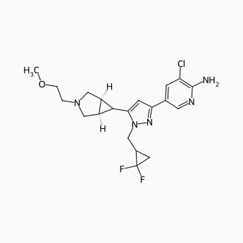 COCCN1C[C@@H]2C(c3cc(-c4cnc(N)c(Cl)c4)nn3CC3CC3(F)F)[C@@H]2C1